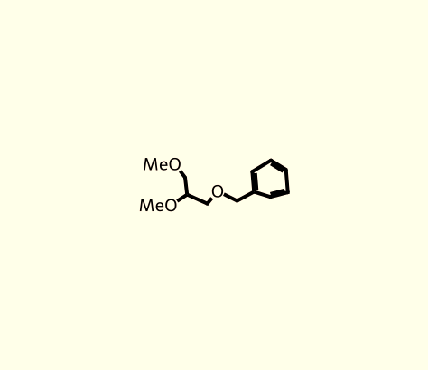 COCC(COCc1ccccc1)OC